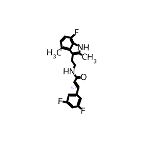 Cc1[nH]c2c(F)ccc(C)c2c1CCNC(=O)/C=C/c1cc(F)cc(F)c1